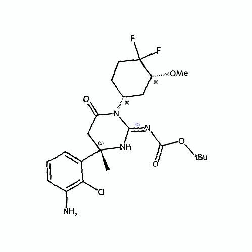 CO[C@@H]1C[C@H](N2C(=O)C[C@@](C)(c3cccc(N)c3Cl)N/C2=N\C(=O)OC(C)(C)C)CCC1(F)F